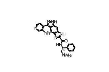 CCCc1cnccc1-c1n[nH]c2cc3[nH]c(C(=O)N[C@H](CNC)c4ccccc4)nc3cc12